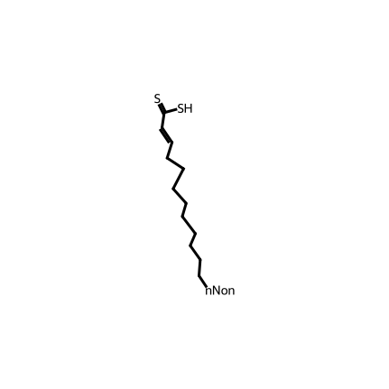 CCCCCCCCCCCCCCCCCCC=CC(=S)S